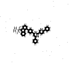 CC1(C)c2ccccc2-c2c(-c3ccc(-c4cc(-c5ccccc5)nc(-c5ccc(-c6ccccc6)nc5)n4)cc3)cccc21